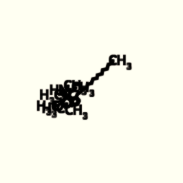 CCCCCCCCCCCCCCCc1cccc(OC(C)C)c1C1C(CC)=C(C)NC(C)=C1CCOC